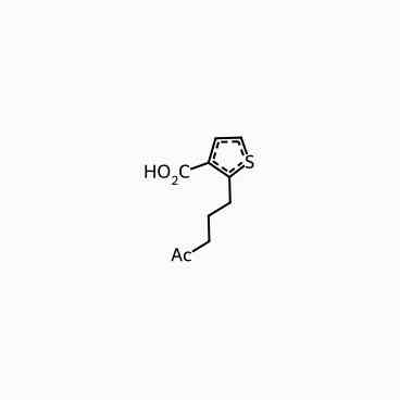 CC(=O)CCCc1sccc1C(=O)O